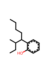 CCCCC(c1ccccc1O)C(C)CC